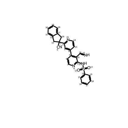 N#CC1(c2cc(-c3ccnc(NS(=O)(=O)c4ccccc4)c3C=N)ccn2)Cc2ccccc2C1